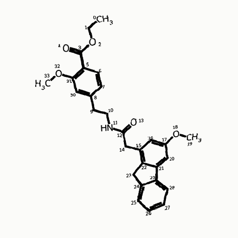 CCOC(=O)c1ccc(CCNC(=O)Cc2cc(OC)cc3c2Cc2ccccc2-3)cc1OC